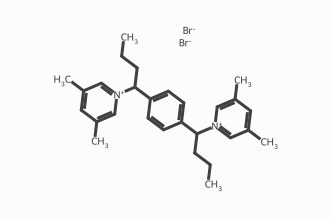 CCCC(c1ccc(C(CCC)[n+]2cc(C)cc(C)c2)cc1)[n+]1cc(C)cc(C)c1.[Br-].[Br-]